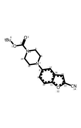 CC(C)(C)OC(=O)N1CCN(c2ccc3oc(C#N)cc3c2)CC1